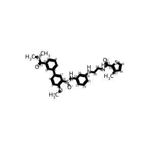 COc1ccc(-c2cccc(C(=O)N(C)C)c2)cc1[S+]([O-])Nc1cccc(NCCNC(=O)c2sccc2C)c1